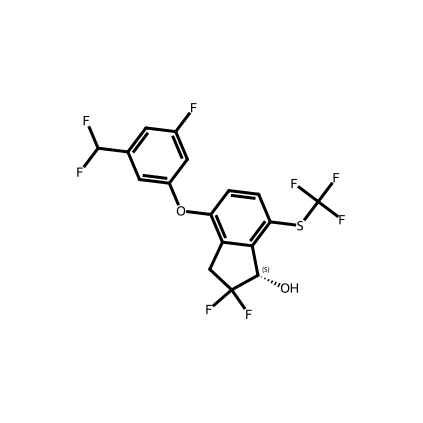 O[C@H]1c2c(SC(F)(F)F)ccc(Oc3cc(F)cc(C(F)F)c3)c2CC1(F)F